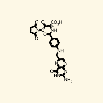 Nc1nc2ncc(CNc3ccc(C(=O)N[C@H](C(=O)O)C(=O)ON4C(=O)CCC4=O)cc3)nc2c(=O)[nH]1